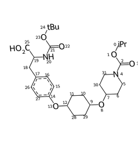 CC(C)OC(=O)N1CCC(OC2CCC(Oc3ccc(CC(NC(=O)OC(C)(C)C)C(=O)O)cc3)CC2)CC1